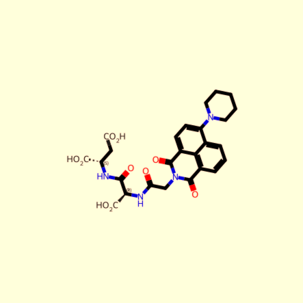 O=C(O)C[C@H](NC(=O)[C@@H](NC(=O)CN1C(=O)c2cccc3c(N4CCCCC4)ccc(c23)C1=O)C(=O)O)C(=O)O